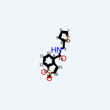 O=C(NCc1cccs1)c1cccc2c1C=CS2(=O)=O